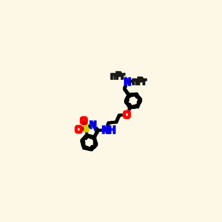 CCCN(CCC)Cc1cccc(OCCCNC2=NS(=O)(=O)c3ccccc32)c1